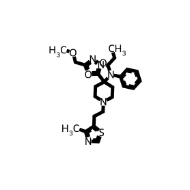 CCC(=O)N(c1ccccc1)C1(c2nnc(COC)o2)CCN(CCc2scnc2C)CC1